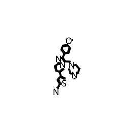 COc1ccc(-c2nc3ccc(-c4csc(C#N)c4)cn3c2CN2CCCN(C)CC2)cc1